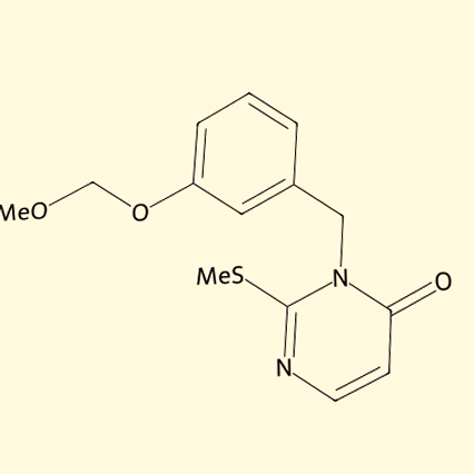 COCOc1cccc(Cn2c(SC)nccc2=O)c1